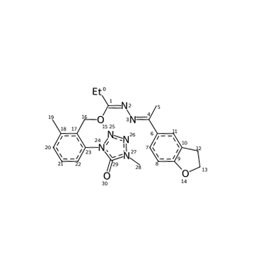 CC/C(=N/N=C(\C)c1ccc2c(c1)CCO2)OCc1c(C)cccc1-n1nnn(C)c1=O